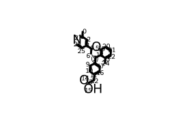 Cc1cc(C(=O)C[C@@H](c2ccc(CC(=O)O)cc2)c2ccccc2C)ccn1